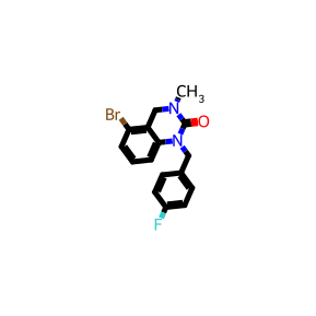 CN1Cc2c(Br)cccc2N(Cc2ccc(F)cc2)C1=O